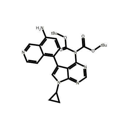 CC(C)(C)OC(=O)N(C(=O)OC(C)(C)C)c1ncnc2c1c(-c1ccc(N)c3cnccc13)cn2C1CC1